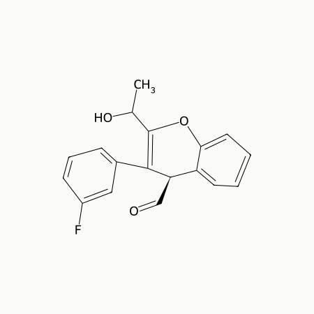 CC(O)C1=C(c2cccc(F)c2)[C@H](C=O)c2ccccc2O1